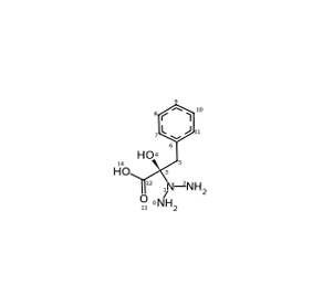 NN(N)[C@@](O)(Cc1ccccc1)C(=O)O